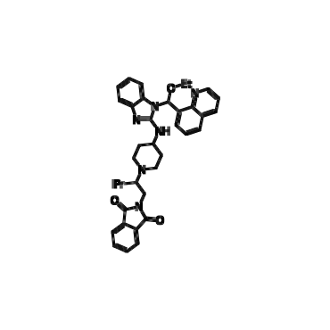 CCOC(c1cccc2cccnc12)n1c(NC2CCN(C(CN3C(=O)c4ccccc4C3=O)C(C)C)CC2)nc2ccccc21